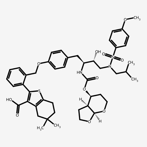 COc1ccc(S(=O)(=O)N(CC(C)C)C[C@@H](O)[C@H](Cc2ccc(OCc3ccccc3-c3sc4c(c3C(=O)O)CC(C)(C)CC4)cc2)NC(=O)O[C@H]2CCO[C@H]3OCC[C@H]32)cc1